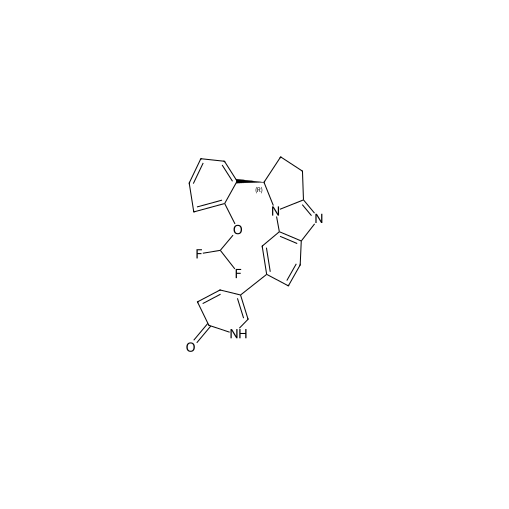 O=c1ccc(-c2ccc3nc4n(c3c2)[C@@H](c2ccccc2OC(F)F)CC4)c[nH]1